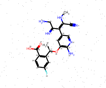 CN/C(C#N)=C(\C(=N)CN)c1cnc(N)c(O[C@H](C)c2cc(F)ccc2C(=O)O)c1